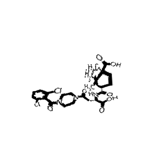 CC1(C)[C@@H](C(=O)N[C@@H](CC(=O)N2CCN(C(=O)c3c(Cl)cccc3Cl)CC2)C(=O)O)CC[C@]1(C)C(=O)O